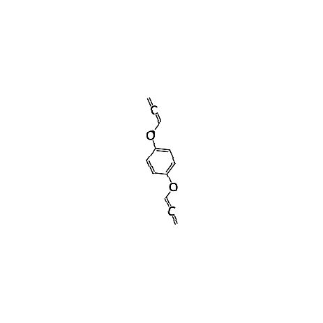 C=C=COc1ccc(OC=C=C)cc1